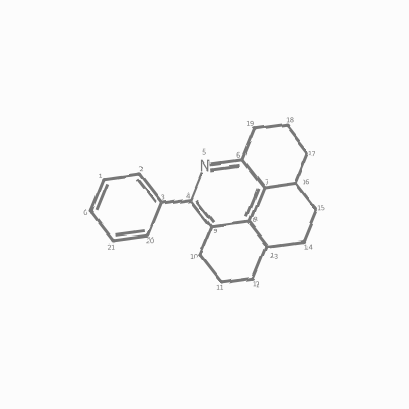 c1ccc(-c2nc3c4c5c2CCCC5CCC4CCC3)cc1